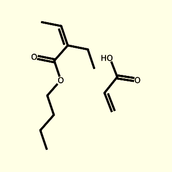 C=CC(=O)O.CC=C(CC)C(=O)OCCCC